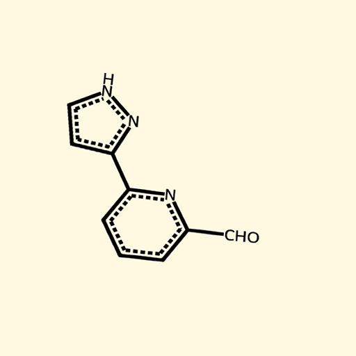 O=Cc1cccc(-c2cc[nH]n2)n1